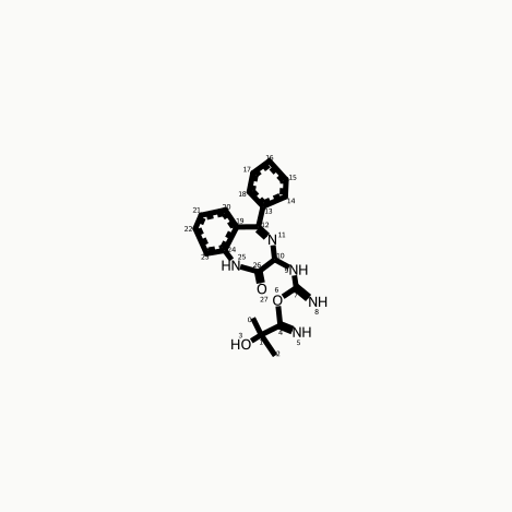 CC(C)(O)C(=N)OC(=N)NC1N=C(c2ccccc2)c2ccccc2NC1=O